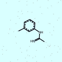 [CH2]c1cccc(NC(C)=N)c1